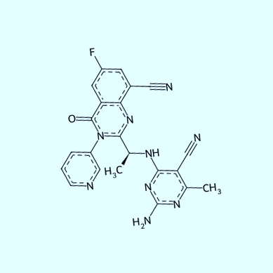 Cc1nc(N)nc(N[C@@H](C)c2nc3c(C#N)cc(F)cc3c(=O)n2-c2cccnc2)c1C#N